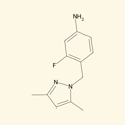 Cc1[c]c(C)n(Cc2ccc(N)cc2F)n1